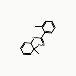 COC1(C)C=CC=CC1NC(=O)c1ccccc1C